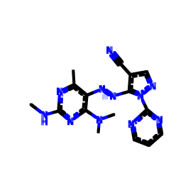 CNc1nc(C)c(/N=N/c2c(C#N)cnn2-c2ncccn2)c(N(C)C)n1